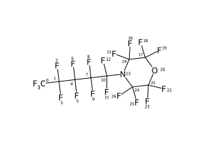 FC(F)(F)C(F)(F)C(F)(F)C(F)(F)C(F)(F)N1C(F)(F)C(F)(F)OC(F)(F)C1(F)F